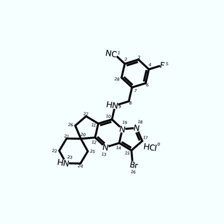 Cl.N#Cc1cc(F)cc(CNc2c3c(nc4c(Br)cnn24)C2(CCNCC2)CC3)c1